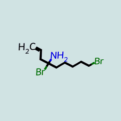 C=CCC(N)(Br)CCCCCBr